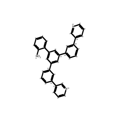 O=[N+]([O-])c1ccccc1-c1cc(-c2cccc(-c3cccnc3)c2)cc(-c2cccc(-c3cccnc3)c2)c1